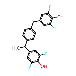 CC(c1ccc(Cc2cc(F)c(O)c(F)c2)cc1)c1cc(F)c(O)c(F)c1